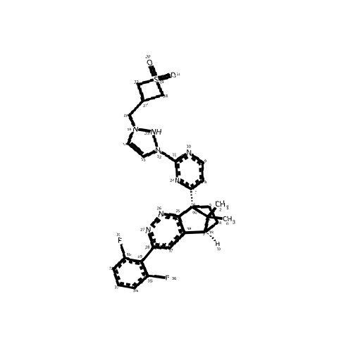 CC1(C)[C@H]2CC[C@]1(c1ccnc(N3C=CN(CC4CS(=O)(=O)C4)N3)n1)c1nnc(-c3c(F)cccc3F)cc12